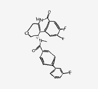 CN(C(=O)c1ccc(-c2cccc(F)c2)cc1)[C@@H]1COCc2[nH]c(=O)c3cc(F)c(F)cc3c21